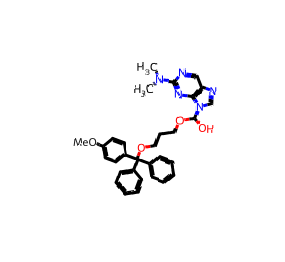 COc1ccc(C(OCCCOC(O)n2cnc3cnc(N(C)C)nc32)(c2ccccc2)c2ccccc2)cc1